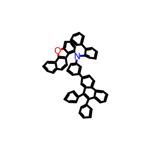 c1ccc(-c2ccccc2N(c2cccc(-c3ccc4c(c3)c(-c3ccccc3)c(-c3ccccc3)c3ccccc34)c2)c2cccc3oc4c5ccccc5ccc4c23)cc1